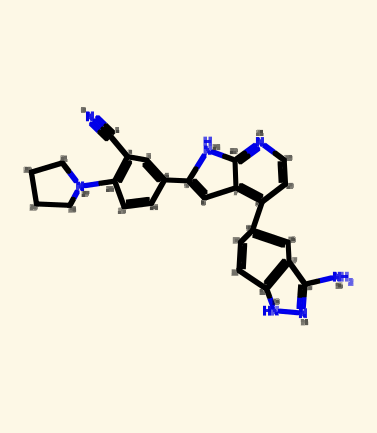 N#Cc1cc(-c2cc3c(-c4ccc5[nH]nc(N)c5c4)ccnc3[nH]2)ccc1N1CCCC1